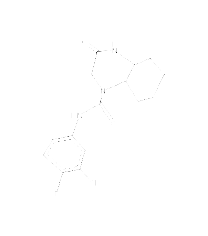 O=C1CN(C(=O)Nc2ccc(F)c(Cl)c2)C2CCCCC2N1